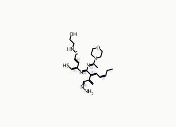 C=C(/C=N\N)C(=C\C=C/CC)/C(=N/C(/C=C/SNCCO)=C/S)/N=C(\C)N1CCOCC1